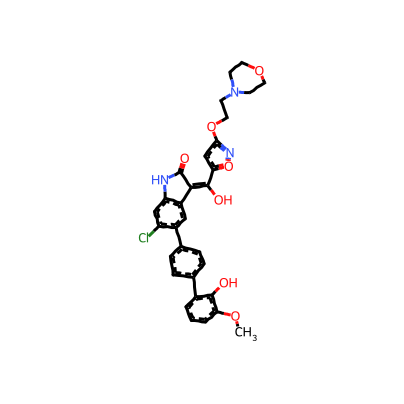 COc1cccc(-c2ccc(-c3cc4c(cc3Cl)NC(=O)C4=C(O)c3cc(OCCN4CCOCC4)no3)cc2)c1O